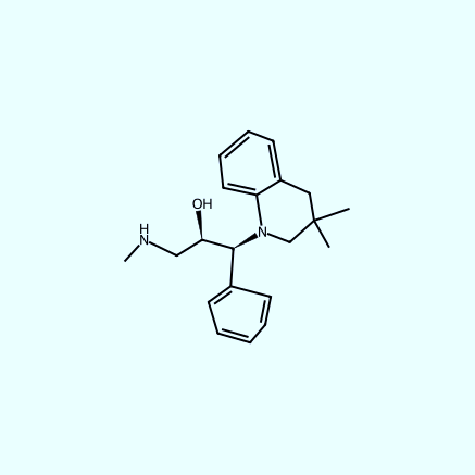 CNC[C@@H](O)[C@H](c1ccccc1)N1CC(C)(C)Cc2ccccc21